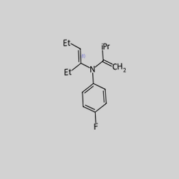 C=C(C(C)C)N(/C(=C/CC)CC)c1ccc(F)cc1